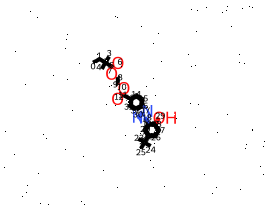 CCC(C)(C)C(=O)OCCOC(=O)c1ccc2nn(-c3cc(C(C)(C)C)ccc3O)nc2c1